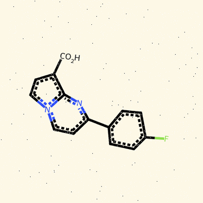 O=C(O)c1ccn2ccc(-c3ccc(F)cc3)nc12